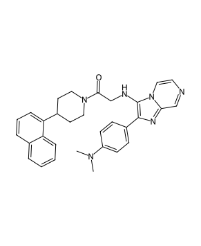 CN(C)c1ccc(-c2nc3cnccn3c2NCC(=O)N2CCC(c3cccc4ccccc34)CC2)cc1